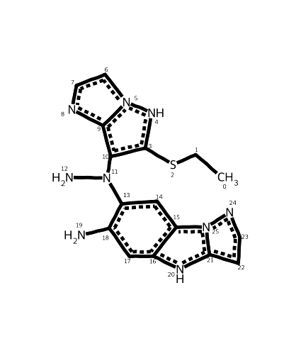 CCSc1[nH]n2ccnc2c1N(N)c1cc2c(cc1N)[nH]c1ccnn12